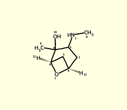 CNC1C[C@@H]2C[C@@H](O2)C1(C)O